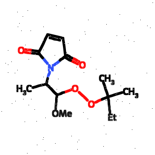 CCC(C)(C)OOC(OC)C(C)N1C(=O)C=CC1=O